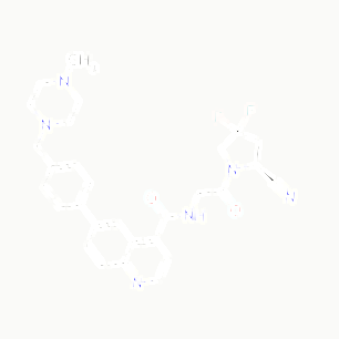 CN1CCN(Cc2ccc(-c3ccc4nccc(C(=O)NCC(=O)N5CC(F)(F)C[C@H]5C#N)c4c3)cc2)CC1